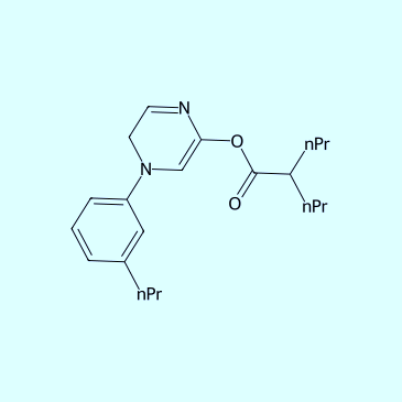 CCCc1cccc(N2C=C(OC(=O)C(CCC)CCC)N=CC2)c1